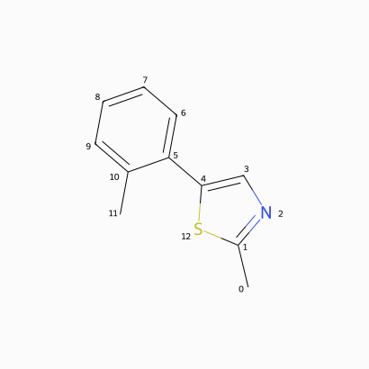 Cc1ncc(-c2ccccc2C)s1